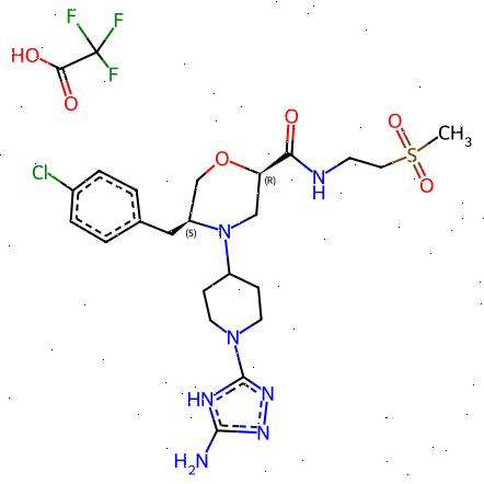 CS(=O)(=O)CCNC(=O)[C@H]1CN(C2CCN(c3nnc(N)[nH]3)CC2)[C@@H](Cc2ccc(Cl)cc2)CO1.O=C(O)C(F)(F)F